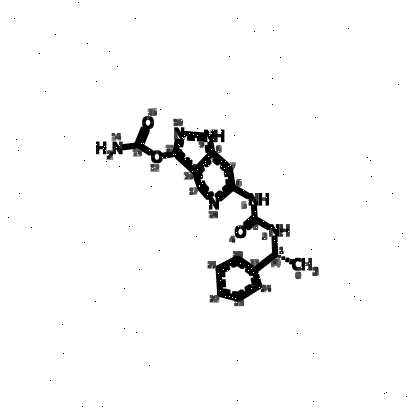 C[C@@H](NC(=O)Nc1cc2[nH]nc(OC(N)=O)c2cn1)c1ccccc1